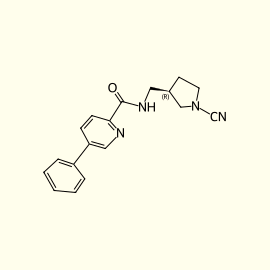 N#CN1CC[C@H](CNC(=O)c2ccc(-c3ccccc3)cn2)C1